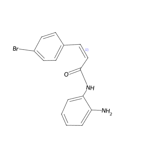 Nc1ccccc1NC(=O)/C=C\c1ccc(Br)cc1